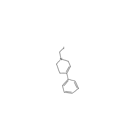 ICN1CC=C(c2ccccc2)CC1